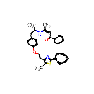 Cc1sc(-c2ccccc2)nc1CCOc1ccc(C[C@H](N/C(=C\C(=O)c2ccccc2)C(F)(F)F)C(=O)O)cc1